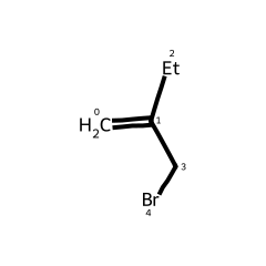 C=C(CC)CBr